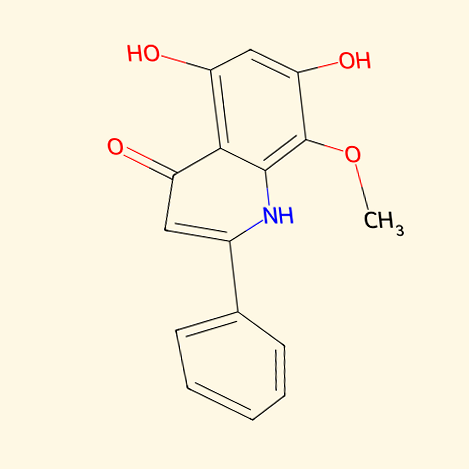 COc1c(O)cc(O)c2c(=O)cc(-c3ccccc3)[nH]c12